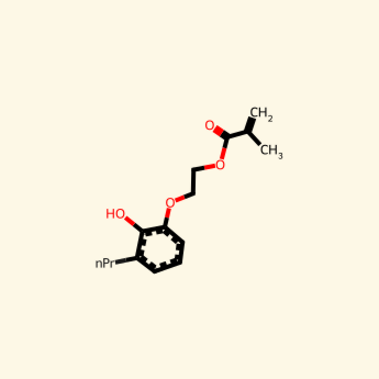 C=C(C)C(=O)OCCOc1cccc(CCC)c1O